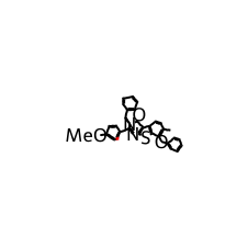 COc1ccc(-c2nc3sc4c(Oc5ccccc5)c(C)ccc4c3c(=O)n2Cc2ccccc2)cc1